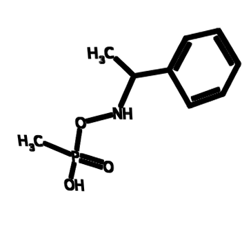 CC(NOP(C)(=O)O)c1ccccc1